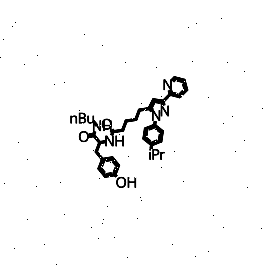 CCCCNC(=O)C(Cc1ccc(O)cc1)NC(=O)CCCCc1cc(-c2ccccn2)nn1-c1ccc(C(C)C)cc1